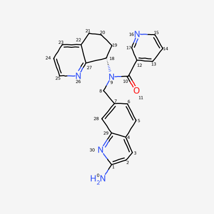 Nc1ccc2ccc(CN(C(=O)c3cccnc3)[C@H]3CCCc4cccnc43)cc2n1